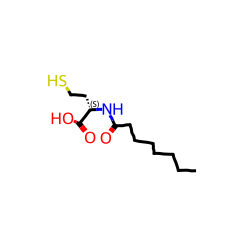 CCCCCCCC(=O)N[C@@H](CCS)C(=O)O